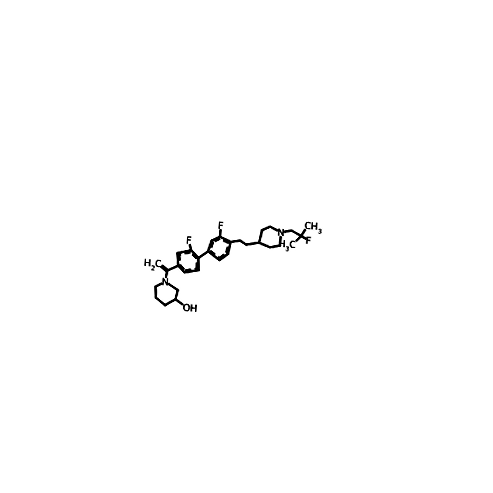 C=C(c1ccc(-c2ccc(CCC3CCN(CC(C)(C)F)CC3)c(F)c2)c(F)c1)N1CCCC(O)C1